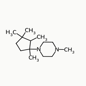 CC1C(C)(C)CCC1(C)N1CCN(C)CC1